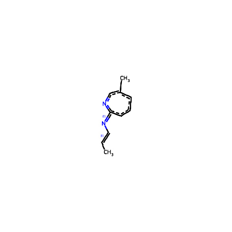 C/C=C/N=c1\cccc(C)cn1